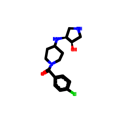 O=C(c1ccc(Cl)cc1)N1CCC(N[C@H]2CNC[C@@H]2O)CC1